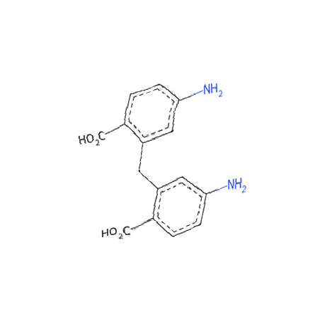 Nc1ccc(C(=O)O)c(Cc2cc(N)ccc2C(=O)O)c1